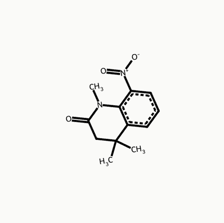 CN1C(=O)CC(C)(C)c2cccc([N+](=O)[O-])c21